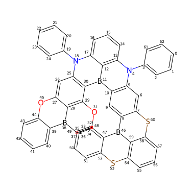 c1ccc(N2c3cc4c(cc3B3c5c2cccc5N(c2ccccc2)c2cc5c6c(c23)Oc2ccccc2B6c2ccccc2O5)B2c3ccccc3Sc3cccc(c32)S4)cc1